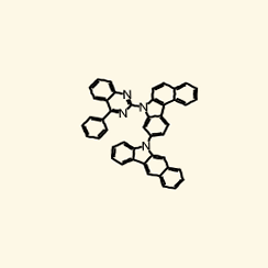 c1ccc(-c2nc(-n3c4cc(-n5c6ccccc6c6cc7ccccc7cc65)ccc4c4c5ccccc5ccc43)nc3ccccc23)cc1